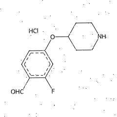 Cl.O=Cc1ccc(OC2CCNCC2)cc1F